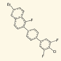 CCc1ccc2c(F)c(-c3ccc(-c4cc(F)c(Cl)c(F)c4)cc3)ccc2c1